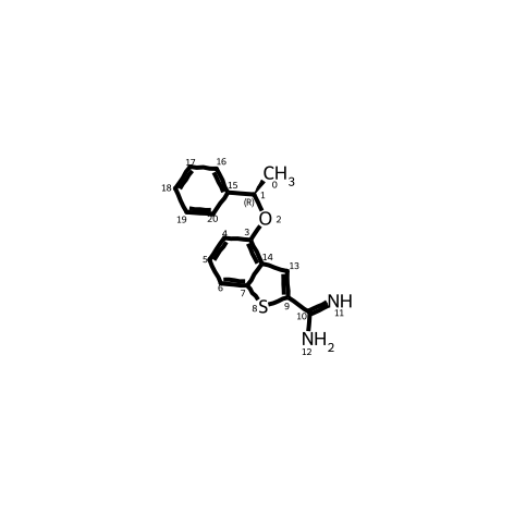 C[C@@H](Oc1cccc2sc(C(=N)N)cc12)c1ccccc1